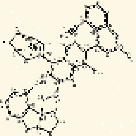 C#Cc1cccc2cc(O)cc(-c3ncc4c(N5CC6CCC(C5)N6)nc(OCC56CCCN5Cc5cccc(F)c56)nc4c3F)c12